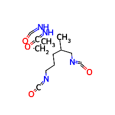 CC(CCCN=C=O)CN=C=O.N=C=O.N=C=O.[CH2]C